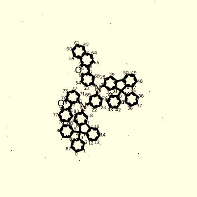 c1ccc(C2(c3ccccc3)c3ccccc3-c3cc(N(c4cccc(N(c5ccc6c(c5)C(c5ccccc5)(c5ccccc5)c5ccccc5-6)c5ccc6oc7c8ccccc8ccc7c6c5)c4)c4cccc5oc6ccccc6c45)ccc32)cc1